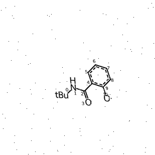 CC(C)(C)NC(=O)c1ccccc1[O]